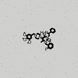 COc1cc(CN2CCN(c3c(C)n(Cc4c(F)cccc4F)c(=O)n(CC(N)c4ccccc4)c3=O)CC2)cc(OC)c1OC